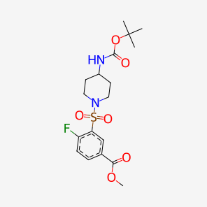 COC(=O)c1ccc(F)c(S(=O)(=O)N2CCC(NC(=O)OC(C)(C)C)CC2)c1